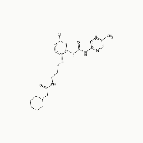 Cc1cnc(NC(=O)Nc2cc(Cl)ccc2OCCCNC(=O)CC2CCCCC2)cn1